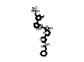 CS(=O)(=O)NCc1cc(F)cc(-c2cccc3[nH]c(-c4n[nH]c5ccc(-c6cncc(NC(=O)CC7CCCCC7)c6)nc45)nc23)c1